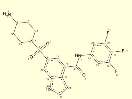 NC1CCN(S(=O)(=O)c2cc(C(=O)Nc3cc(F)c(F)c(F)c3)c3cc[nH]c3c2)CC1